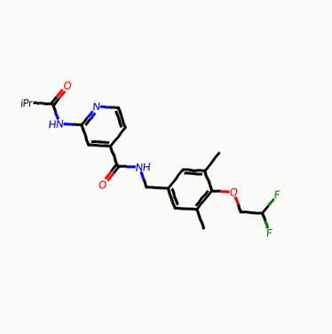 Cc1cc(CNC(=O)c2ccnc(NC(=O)C(C)C)c2)cc(C)c1OCC(F)F